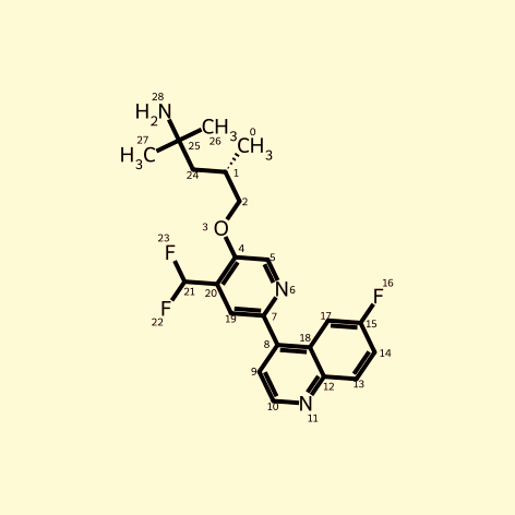 C[C@H](COc1cnc(-c2ccnc3ccc(F)cc23)cc1C(F)F)CC(C)(C)N